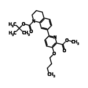 CCCCOc1ccc(-c2ccc3c(c2)N(C(=O)OC(C)(C)C)CCC3)nc1C(=O)OC